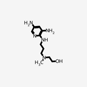 CN(CCO)CCCNc1ncc(N)cc1N